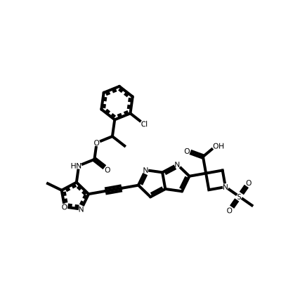 Cc1onc(C#CC2=NC3=NC(C4(C(=O)O)CN(S(C)(=O)=O)C4)=CC3=C2)c1NC(=O)OC(C)c1ccccc1Cl